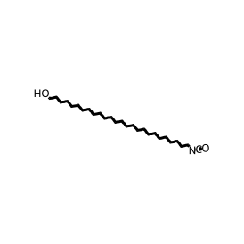 O=C=NCCCCCCCCCCCCCCCCCCCCCCCCCCO